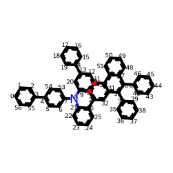 c1ccc(-c2ccc(N(c3cccc(-c4ccccc4)c3)c3ccccc3-c3ccc4c(c3)c(-c3ccccc3)c(-c3ccccc3)c3ccccc34)cc2)cc1